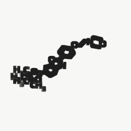 CC1(C)OB(c2ccc3nc(-c4ccc(OCCN5CCOCC5)cc4)oc3c2)OC1(C)C